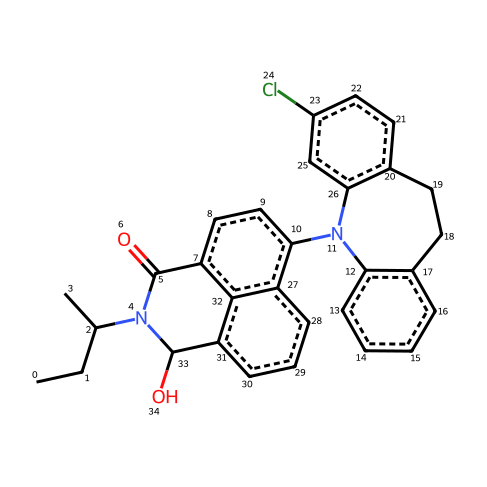 CCC(C)N1C(=O)c2ccc(N3c4ccccc4CCc4ccc(Cl)cc43)c3cccc(c23)C1O